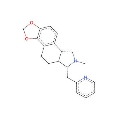 CN1CC2c3ccc4c(c3CCC2C1Cc1ccccn1)OCO4